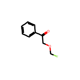 O=C(COCF)c1ccccc1